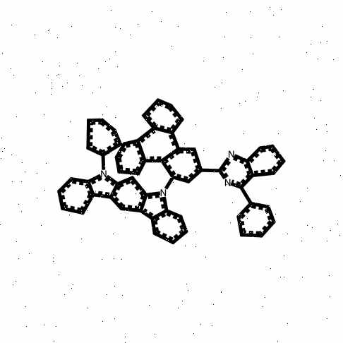 c1ccc(-c2nc(-c3cc(-n4c5ccccc5c5cc6c7ccccc7n(-c7ccccc7)c6cc54)c4c5ccccc5c5ccccc5c4c3)nc3ccccc23)cc1